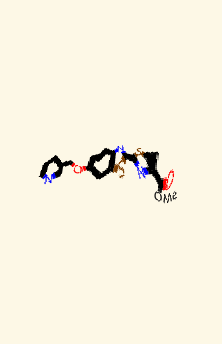 COC(=O)C1CSC(c2nc3ccc(OCc4cccnc4)cc3s2)=N1